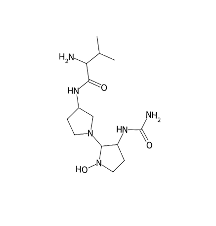 CC(C)C(N)C(=O)NC1CCN(C2C(NC(N)=O)CCN2O)C1